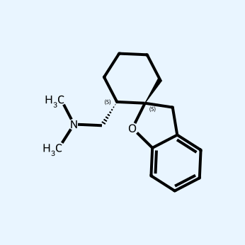 CN(C)C[C@@H]1CCCC[C@]12Cc1ccccc1O2